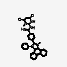 CN1c2c(c3ccccc3c3ccccc23)N(c2ccccc2)C1c1ccc(C(=N)NC2NC(Cl)=CC(Cl)N2C)cc1